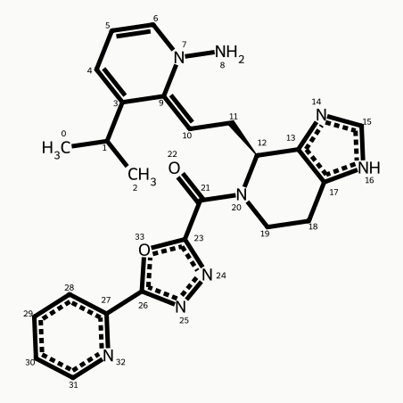 CC(C)C1=CC=CN(N)/C1=C\C[C@H]1c2nc[nH]c2CCN1C(=O)c1nnc(-c2ccccn2)o1